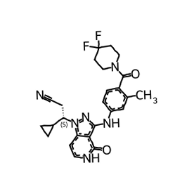 Cc1cc(Nc2nn([C@@H](CC#N)C3CC3)c3cc[nH]c(=O)c23)ccc1C(=O)N1CCC(F)(F)CC1